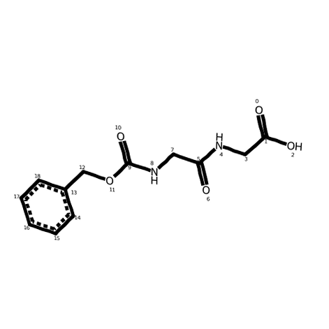 O=C(O)CNC(=O)CNC(=O)OCc1ccccc1